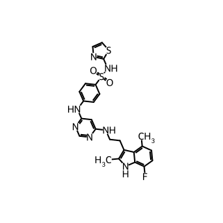 Cc1[nH]c2c(F)ccc(C)c2c1CCNc1cc(Nc2ccc(S(=O)(=O)Nc3nccs3)cc2)ncn1